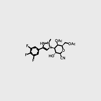 CC(=O)OC[C@H]1O[C@@H](C#N)[C@H](O)[C@@H](N2C=C(c3cc(F)c(F)c(F)c3)NN2C)[C@H]1OC(C)=O